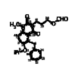 CC(C)Oc1cnc2c(c1Cc1ccccc1)c(=O)n(CCCOC=O)c(=O)n2C